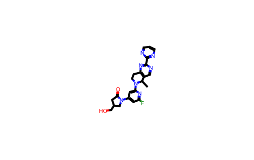 CC1c2cnc(-c3ncccn3)nc2CCN1c1cc(N2CC(CO)CC2=O)cc(F)n1